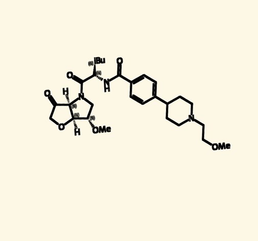 CC[C@H](C)[C@H](NC(=O)c1ccc(C2CCN(CCOC)CC2)cc1)C(=O)N1C[C@H](OC)[C@H]2OCC(=O)[C@H]21